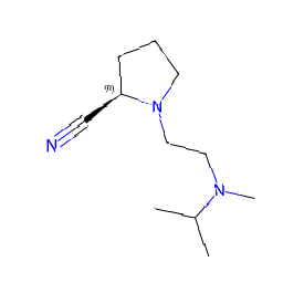 CC(C)N(C)CCN1CCC[C@@H]1C#N